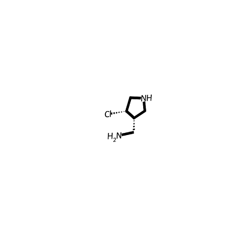 NC[C@H]1CNC[C@H]1Cl